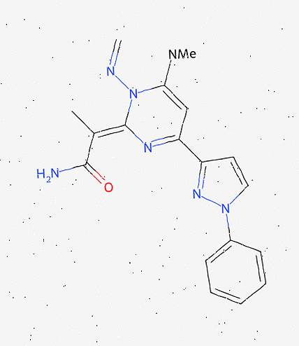 C=NN1C(NC)=CC(c2ccn(-c3ccccc3)n2)=N/C1=C(/C)C(N)=O